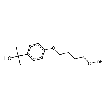 CCCOCCCCOc1ccc(C(C)(C)O)cc1